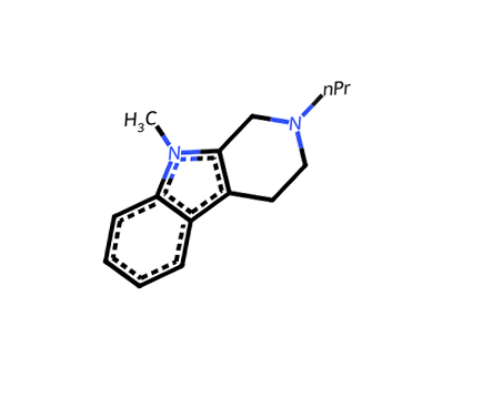 CCCN1CCc2c(n(C)c3ccccc23)C1